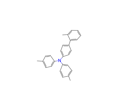 Cc1ccc(N(c2ccc(C)cc2)c2ccc(-c3ccccc3C)cc2)cc1